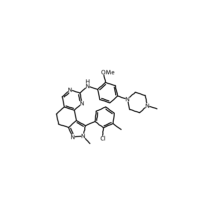 COc1cc(N2CCN(C)CC2)ccc1Nc1ncc2c(n1)-c1c(nn(C)c1-c1cccc(C)c1Cl)CC2